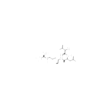 CC(C)CC(NC(=O)C(N)C(C)C)C(=O)N[C@@H]([C]=O)CCCNC(=N)N